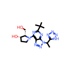 CC(c1nnn[nH]1)n1nnc2c(N3CC[C@H](O)[C@@H]3CO)nc(C(C)(C)C)nc21